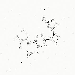 CC(C)CC(NC(=O)[C@H](CC1CC1)NC(=O)[C@@H]1CCN1c1nc(C(F)(F)F)cs1)B(O)O